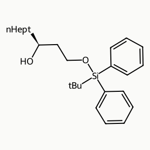 CCCCCCC[C@H](O)CCO[Si](c1ccccc1)(c1ccccc1)C(C)(C)C